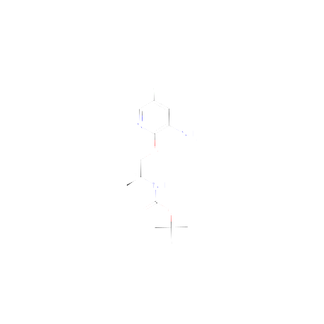 C[C@@H](COc1ncc(Cl)cc1N)NC(=O)OC(C)(C)C